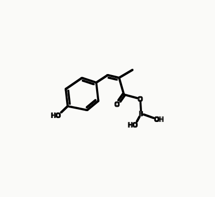 CC(=Cc1ccc(O)cc1)C(=O)OB(O)O